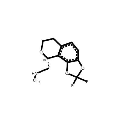 CNC[C@@H]1OCCc2ccc3c(c21)OC(F)(F)O3